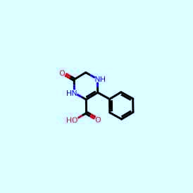 O=C1CNC(c2ccccc2)=C(C(=O)O)N1